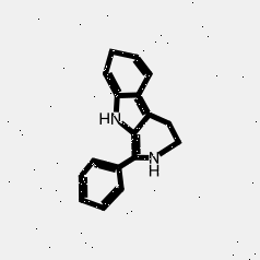 C1=Cc2c3c([nH]c2=CC1)=C(c1ccccc1)NCC3